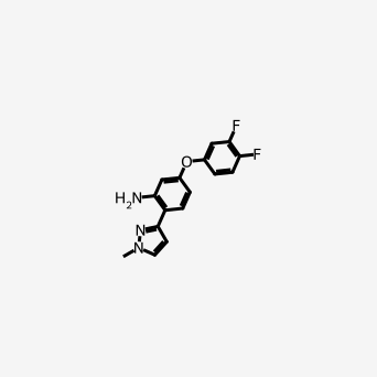 Cn1ccc(-c2ccc(Oc3ccc(F)c(F)c3)cc2N)n1